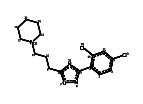 Clc1ccc(-c2noc(CCCN3CCCCC3)n2)c(Cl)c1